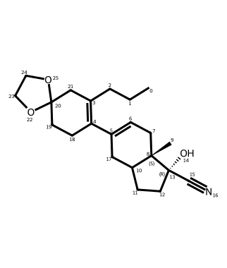 CCCC1=C(C2=CC[C@@]3(C)C(CC[C@]3(O)C#N)C2)CCC2(C1)OCCO2